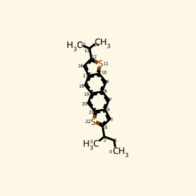 CCC(C)c1cc2cc3cc4sc(C(C)C)cc4cc3cc2s1